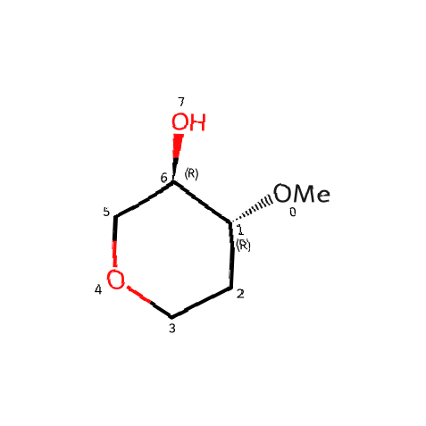 CO[C@@H]1CCOC[C@H]1O